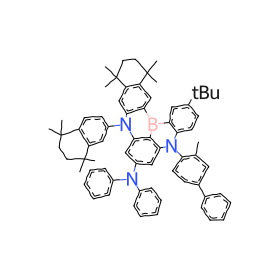 Cc1cc(-c2ccccc2)ccc1N1c2ccc(C(C)(C)C)cc2B2c3cc4c(cc3N(c3ccc5c(c3)C(C)(C)CCC5(C)C)c3cc(N(c5ccccc5)c5ccccc5)cc1c32)C(C)(C)CCC4(C)C